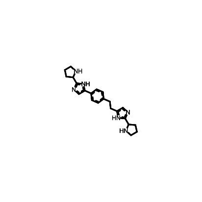 c1cc(-c2cnc(C3CCCN3)[nH]2)ccc1CCc1cnc(C2CCCN2)[nH]1